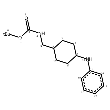 CC(C)(C)OC(=O)NCC1CCC(Nc2ccccc2)CC1